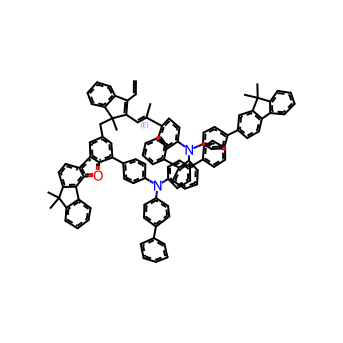 C=CC1=C(/C=C(\C)c2ccc(N(c3ccc(-c4ccc5c(c4)C(C)(C)c4ccccc4-5)cc3)c3ccccc3-c3ccccc3)cc2)C(C)(Cc2cc(-c3ccc(N(c4ccc(-c5ccccc5)cc4)c4ccc(-c5ccccc5)cc4)cc3)c3oc4c5c(ccc4c3c2)C(C)(C)c2ccccc2-5)c2ccccc21